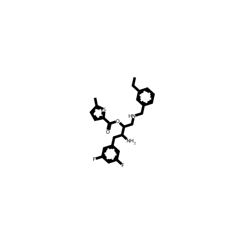 CCc1cccc(CNCC(OC(=O)c2ccc(C)s2)C(N)Cc2cc(F)cc(F)c2)c1